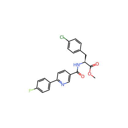 COC(=O)[C@H](Cc1ccc(Cl)cc1)NC(=O)c1ccc(-c2ccc(F)cc2)nc1